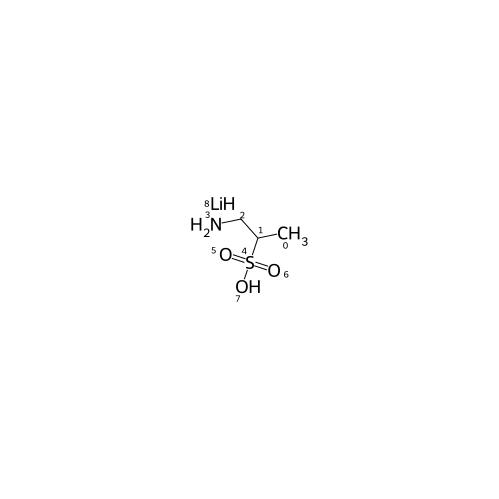 CC(CN)S(=O)(=O)O.[LiH]